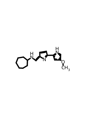 COc1c[nH]c(C2=NC(=CNC3CCCCCC3)C=C2)c1